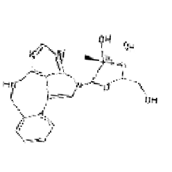 C[C@]1(O)C(n2cc3c4c(ncnc42)NCc2ccccc2-3)OC(CO)[C@H]1O